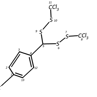 Cc1ccc(C(SSC(Cl)(Cl)Cl)SSC(Cl)(Cl)Cl)cc1